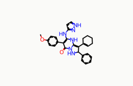 COc1ccc(C2=C(Nc3cc[nH]n3)NC3=C(C4=CCCCC4)C(c4ccccc4)NN3C2=O)cc1